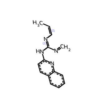 C=N/C(=N\C=C/C)Nc1ccc2ccccc2n1